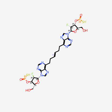 O=[PH](S)O[C@H]1[C@@H](F)[C@H](n2cnc3c(CC/C=C/CCc4ncnc5c4ncn5[C@@H]4O[C@H](CO)[C@@H](O[PH](=O)S)[C@H]4F)ncnc32)O[C@@H]1CO